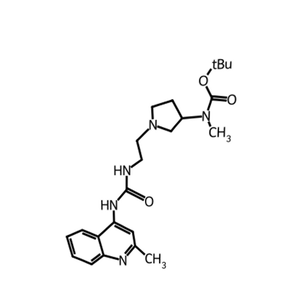 Cc1cc(NC(=O)NCCN2CCC(N(C)C(=O)OC(C)(C)C)C2)c2ccccc2n1